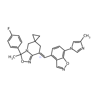 Cc1cn(-c2ccc(/C=C3\CC4(CC4)CN4C3=NOC4(C)c3ccc(F)cc3)c3cnoc23)cn1